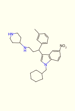 Cc1cccc(C(CCNC2CCNCC2)c2cn(CC3CCCCC3)c3ccc([N+](=O)[O-])cc23)c1